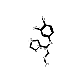 CC(C)SC[C@H](Oc1ccc(Cl)c(Cl)c1)[C@H]1CCNC1